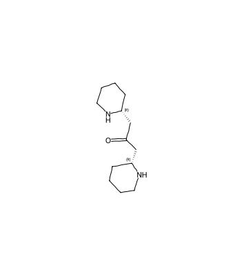 O=C(C[C@H]1CCCCN1)C[C@H]1CCCCN1